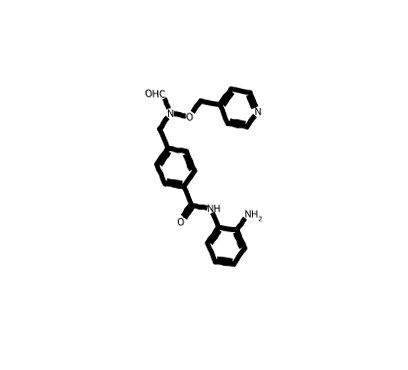 Nc1ccccc1NC(=O)c1ccc(CN(C=O)OCc2ccncc2)cc1